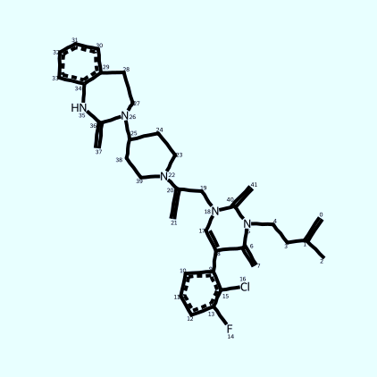 C=C(C)CCN1C(=C)C(c2cccc(F)c2Cl)=CN(CC(=C)N2CCC(N3CCc4ccccc4NC3=C)CC2)C1=C